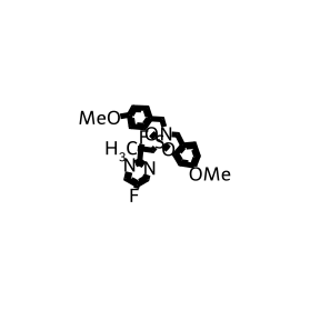 COc1ccc(CN(Cc2ccc(OC)cc2)S(=O)(=O)CC(C)(F)c2ncc(F)cn2)cc1